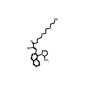 CC1CCCN1c1c(/C=C(\C#N)C(=O)CCCOCCOCCO)ccc2ccccc12